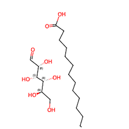 CCCCCCCCCCCCCC(=O)O.O=C[C@H](O)[C@@H](O)[C@H](O)[C@H](O)CO